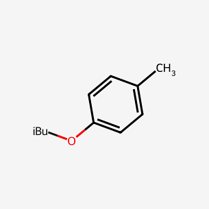 CCC(C)Oc1ccc(C)cc1